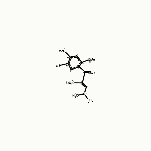 CCOC(=O)/C(=C\N(C)C)C(=O)c1cc(I)c(OC)cc1OC